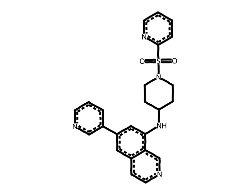 O=S(=O)(c1ccccn1)N1CCC(Nc2cc(-c3cccnc3)cc3ccncc23)CC1